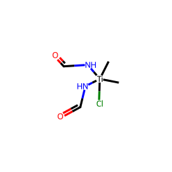 [CH3][Ti]([CH3])([Cl])([NH]C=O)[NH]C=O